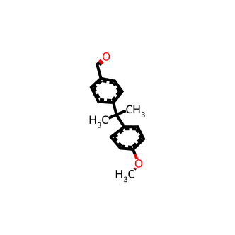 COc1ccc(C(C)(C)c2ccc(C=O)cc2)cc1